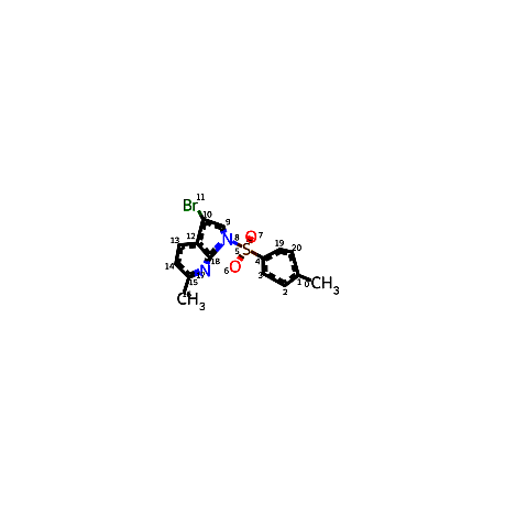 Cc1ccc(S(=O)(=O)n2cc(Br)c3ccc(C)nc32)cc1